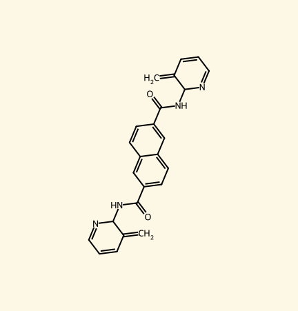 C=C1C=CC=NC1NC(=O)c1ccc2cc(C(=O)NC3N=CC=CC3=C)ccc2c1